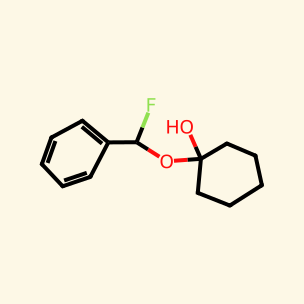 OC1(OC(F)c2ccccc2)CCCCC1